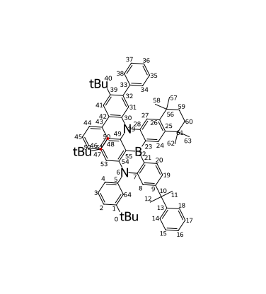 CC(C)(C)c1cccc(N2c3cc(C(C)(C)c4ccccc4)ccc3B3c4cc5c(cc4N(c4cc(-c6ccccc6)c(C(C)(C)C)cc4-c4ccccc4)c4cc(C(C)(C)C)cc2c43)C(C)(C)CCC5(C)C)c1